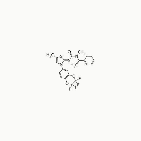 Cc1cn(-c2ccc3c(c2)OC(F)(F)C(F)(F)O3)c(=NC(=O)N(C)[C@H](C)c2ccccc2)s1